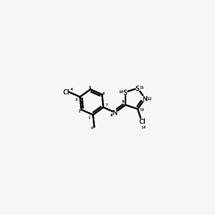 Cc1cc(Cl)ccc1N=c1ssnc1Cl